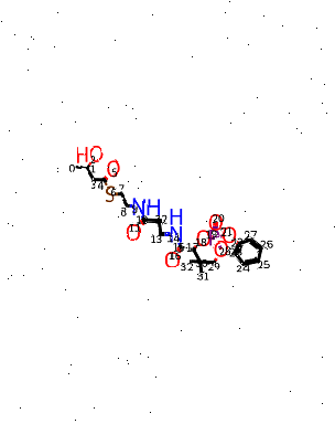 C[C@@H](O)CC(=O)SCCNC(=O)CCNC(=O)[C@@H]1OP(=O)(Oc2ccccc2)OCC1(C)C